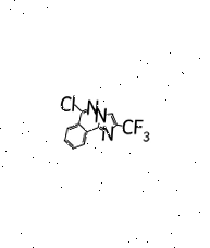 FC(F)(F)c1cn2nc(Cl)c3ccccc3c2n1